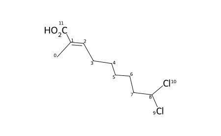 CC(=CCCCCCC(Cl)Cl)C(=O)O